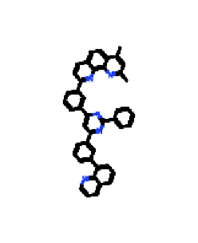 Cc1cc(C)c2ccc3ccc(-c4cccc(-c5cc(-c6cccc(-c7cccc8cccnc78)c6)nc(-c6ccccc6)n5)c4)nc3c2n1